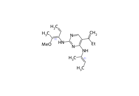 C=C/C(Nc1ncc(C(=C)CC)c(N/C(C)=C/C)n1)=C(\C)OC